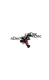 C=CCO[C@@H]1O[C@H](COCOCc2ccccc2)[C@@H](OP(=O)(c2ccccc2)c2ccccc2)[C@H](OC(=O)CCCCCCCCCCCCC)[C@H]1NC(=O)[C@@H](F)[C@@H](CCCCCCCCCCC)OC(=O)CCCCCCCCCCCCC